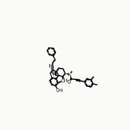 Cc1ccc(C#CC(=O)N(C)[C@@H]2CC[C@H]3[C@H]4Cc5ccc(O)c6c5[C@@]3(CCN4CCc3ccccc3)[C@H]2O6)cc1C